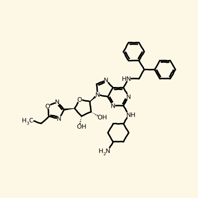 CCc1nc([C@H]2O[C@@H](n3cnc4c(NCC(c5ccccc5)c5ccccc5)nc(NC5CCC(N)CC5)nc43)[C@H](O)[C@@H]2O)no1